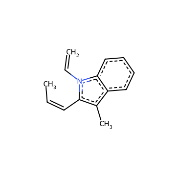 C=Cn1c(/C=C\C)c(C)c2ccccc21